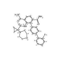 NC(=O)c1ccc(C(N)=O)c(-c2ccc(-c3ccccc3F)nc2)c1NC(=O)C1(N2CCOCC2)CC1